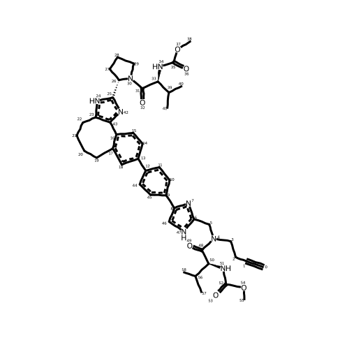 C#CCCN(Cc1nc(-c2ccc(-c3ccc4c(c3)CCCCc3[nH]c([C@@H]5CCCN5C(=O)[C@@H](NC(=O)OC)C(C)C)nc3-4)cc2)c[nH]1)C(=O)[C@@H](NC(=O)OC)C(C)C